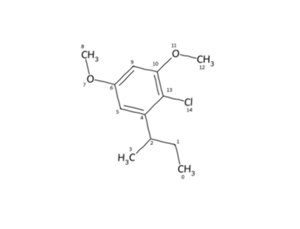 CCC(C)c1cc(OC)cc(OC)c1Cl